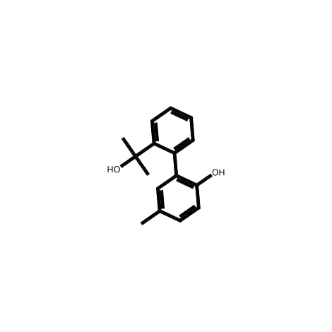 Cc1ccc(O)c(-c2ccccc2C(C)(C)O)c1